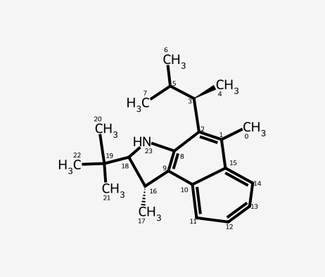 Cc1c([C@H](C)C(C)C)c2c(c3ccccc13)[C@H](C)C(C(C)(C)C)N2